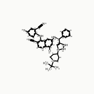 CC(C)(C)N1CCC(N2C=C([C@@H](Nc3cc(Cl)c4ncc(C#N)c(Nc5ccc(F)cc5C#N)c4c3)c3ccccc3)NN2)CC1